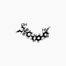 C=CCN(CCO)S(=O)(=O)C1CCN(c2cnc3ccc(-c4cncc(NC)c4)cc3n2)CC1